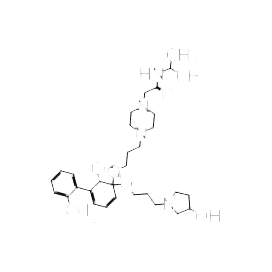 Cc1ccccc1C1=CC=CC(OCCCN2CCN(CC(=O)NC(C)C)CC2)(OCCCN2CCC(O)C2)[C@@H]1C